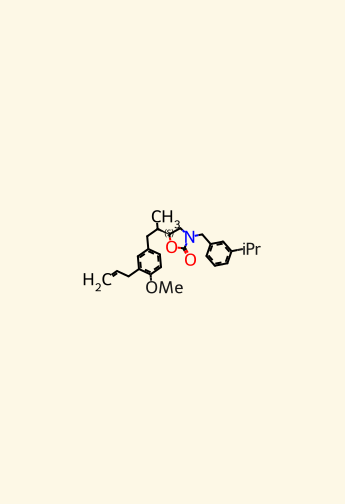 C=CCc1cc(CC(C)[C@H]2CN(Cc3cccc(C(C)C)c3)C(=O)O2)ccc1OC